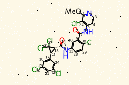 COc1nccc(NC(=O)c2cc(NC(=O)[C@@H]3[C@@H](c4cc(Cl)cc(Cl)c4)C3(Cl)Cl)ccc2Cl)c1Cl